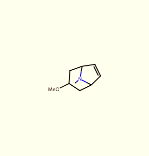 COC1CC2C=CC(C1)N2C